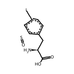 N[C@@H](Cc1ccc(I)cc1)C(=O)O.O=S